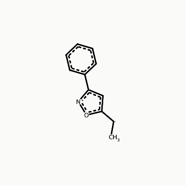 C[CH]c1cc(-c2ccccc2)no1